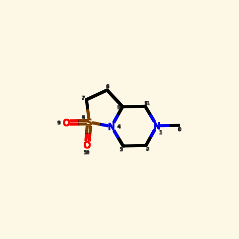 CN1CCN2C(CCS2(=O)=O)C1